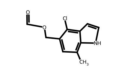 Cc1cc(COC=O)c(Cl)c2cc[nH]c12